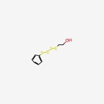 OCCSSSSc1ccccc1